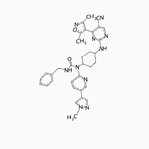 Cc1noc(C)c1-c1nc(NC2CCC(N(C(=O)NCc3ccccc3)c3ccc(-c4cnn(C)c4)cn3)CC2)ncc1C#N